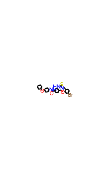 O=C(Nc1ccc(Oc2ccccc2)cc1)c1ccc2c(=O)n(Cc3ccc(Br)cc3)c(=S)[nH]c2c1